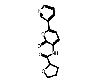 O=C(Nc1ccc(-c2cccnc2)oc1=O)C1CCCO1